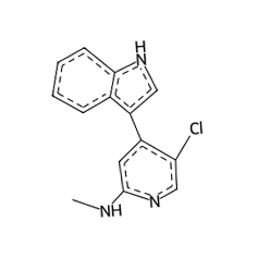 CNc1cc(-c2c[nH]c3ccccc23)c(Cl)cn1